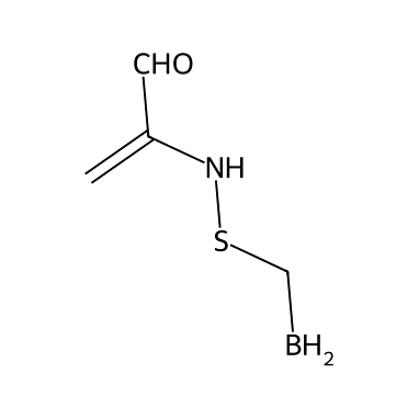 BCSNC(=C)C=O